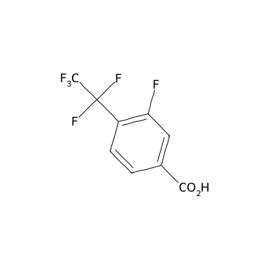 O=C(O)c1ccc(C(F)(F)C(F)(F)F)c(F)c1